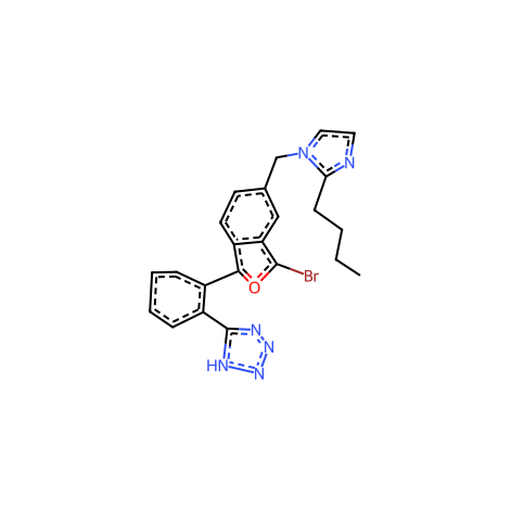 CCCCc1nccn1Cc1ccc2c(-c3ccccc3-c3nnn[nH]3)oc(Br)c2c1